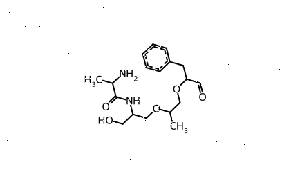 CC(COC(C=O)Cc1ccccc1)OCC(CO)NC(=O)C(C)N